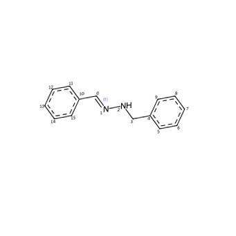 C(=N\NCc1ccccc1)/c1ccccc1